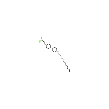 CCCCCCCCCCCC[C@H]1CC[C@H](C2CCC(CC=C(F)F)CC2)CC1